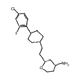 NC1CCOC(CCC2CCC(c3ccc(Cl)cc3F)CC2)C1